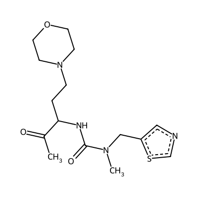 CC(=O)C(CCN1CCOCC1)NC(=O)N(C)Cc1cncs1